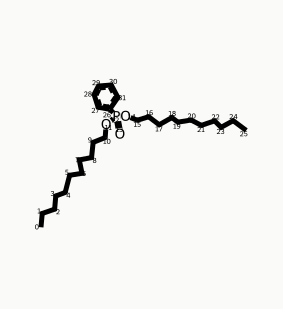 CCCCCCCCCCCOP(=O)(OCCCCCCCCCCC)c1ccccc1